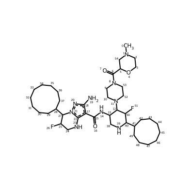 CN1CCOC(C(=O)N2CCN(C3C(NC(=O)c4c(N)nn5c4NCC(F)C5C4CCCCCCCCC4)CNC(C4CCCCCCCC4)C3F)CC2)C1